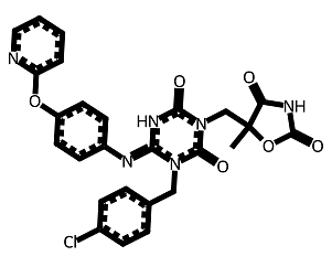 CC1(Cn2c(=O)[nH]c(=Nc3ccc(Oc4ccccn4)cc3)n(Cc3ccc(Cl)cc3)c2=O)OC(=O)NC1=O